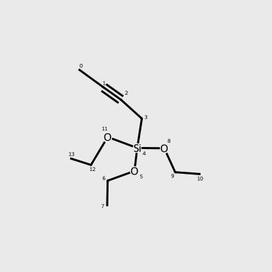 CC#CC[Si](OCC)(OCC)OCC